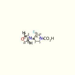 O=C(O)N1CC[C@H](N2C[C@@H]3C[C@H]2CO3)[C@H](F)C1